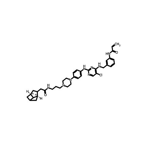 C=CC(=O)Nc1cccc(CNc2nc(Nc3ccc(N4CCN(CCCNC(=O)CC5C[C@@H]6CC7C[C@H]5C76)CC4)cc3)ncc2Cl)c1